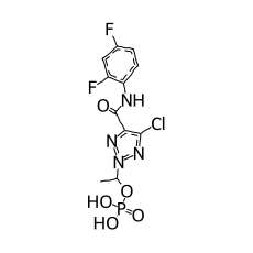 CC(OP(=O)(O)O)n1nc(Cl)c(C(=O)Nc2ccc(F)cc2F)n1